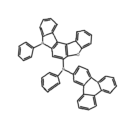 c1ccc(N(c2ccc3c4ccccc4c4ccccc4c3c2)c2cc3c(c4ccccc4n3-c3ccccc3)c3c2oc2ccccc23)cc1